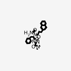 CN(C)C(=O)c1noc(C(Cc2ccccc2)N(C(N)=O)C(=O)[CH]Cc2ccc3ccccc3c2)n1